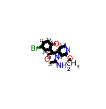 COc1cc2c(cn1)Oc1ccc(Br)cc1C21COCC(N)=N1